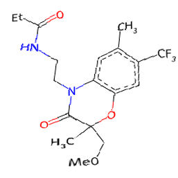 CCC(=O)NCCN1C(=O)C(C)(COC)Oc2cc(C(F)(F)F)c(C)cc21